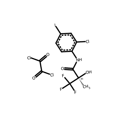 C[C@@](O)(C(=O)Nc1ccc(I)cc1Cl)C(F)(F)F.O=C(Cl)C(=O)Cl